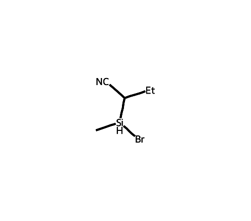 CCC(C#N)[SiH](C)Br